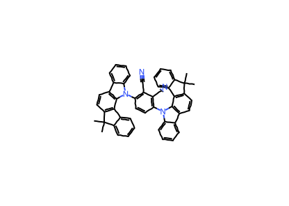 CC1(C)c2ccccc2-c2c1ccc1c3ccccc3n(-c3ccc(-n4c5ccccc5c5ccc6c(c54)-c4ccccc4C6(C)C)c(C#N)c3C#N)c21